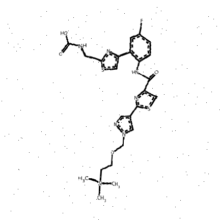 C[Si](C)(C)CCOCn1cc(-c2nc(C(=O)Nc3ccc(F)cc3-c3csc(CNC(=O)O)n3)cs2)cn1